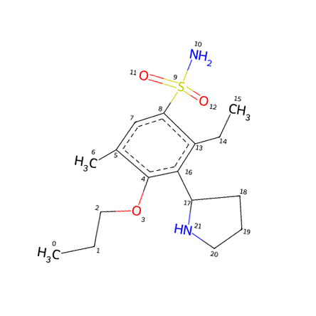 CCCOc1c(C)cc(S(N)(=O)=O)c(CC)c1C1CCCN1